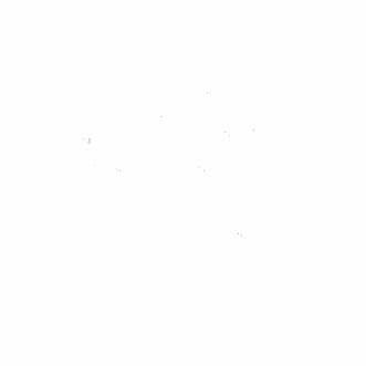 CCNC(=O)N1CCC(c2nc3c(-c4cnc5ccccc5c4)cnn3c(N)c2Br)C1